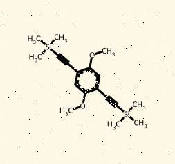 COc1cc(C#C[Si](C)(C)C)c(OC)cc1C#C[Si](C)(C)C